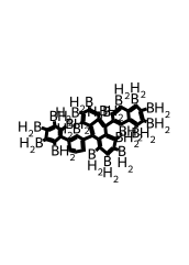 Bc1c(B)c(B)c(-c2cccc(-c3c4c(B)c(B)c(B)c(B)c4c(-c4c(B)c(B)c5c(B)c(B)c(B)c(B)c5c4B)c4c(B)c(B)c(B)c(B)c34)c2)c(B)c1B